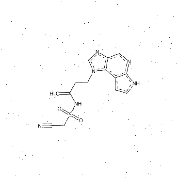 C=C(CCn1cnc2cnc3[nH]ccc3c21)NS(=O)(=O)CC#N